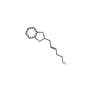 CCCC=CCB1Oc2ccccc2O1